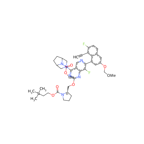 C#Cc1c(F)ccc2cc(OCOC)cc(-c3ncc4c(N5CC6CCC(C5)N6C(=O)OC(C)(C)C)nc(OC[C@H]5CCCN5C(=O)OCC[Si](C)(C)C)nc4c3F)c12